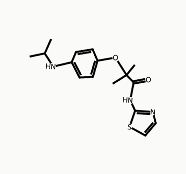 CC(C)Nc1ccc(OC(C)(C)C(=O)Nc2nccs2)cc1